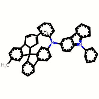 CC1=CC2C(C=C1)c1ccc(C)cc1C21c2ccccc2-c2ccc(N(c3ccccc3)c3ccc4c(c3)c3ccccc3n4-c3ccccc3)cc21